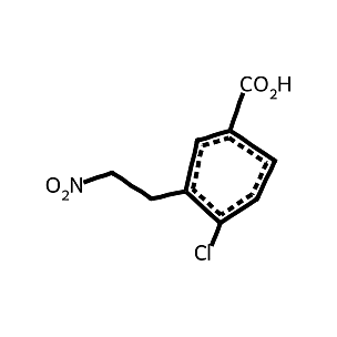 O=C(O)c1ccc(Cl)c(CC[N+](=O)[O-])c1